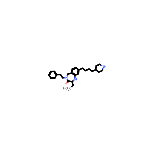 O=C(O)CC1Nc2cc(CCCCC3CCNCC3)ccc2CN(CCc2ccccc2)C1=O